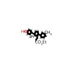 CCOC(=O)CCc1cc(-c2ccc(O)cc2C(C)C)ccc1-c1cccc(C)c1